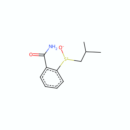 CC(C)C[S+]([O-])c1ccccc1C(N)=O